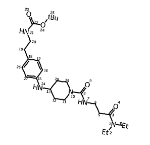 CCN(CC)C(=O)CCNC(=O)N1CCC(Nc2ccc(CCNC(=O)OC(C)(C)C)cc2)CC1